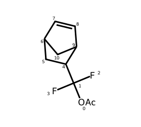 CC(=O)OC(F)(F)C1CC2C=CC1C2